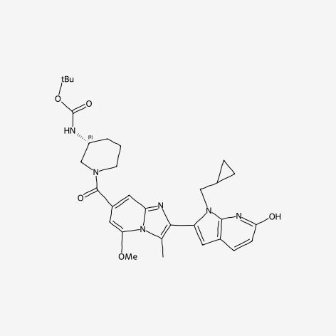 COc1cc(C(=O)N2CCC[C@@H](NC(=O)OC(C)(C)C)C2)cc2nc(-c3cc4ccc(O)nc4n3CC3CC3)c(C)n12